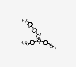 COc1ccc(-c2nc(-c3ccc(OC)cc3)n(CC(=O)N3CCN(c4ccc(C)cn4)CC3)n2)cc1